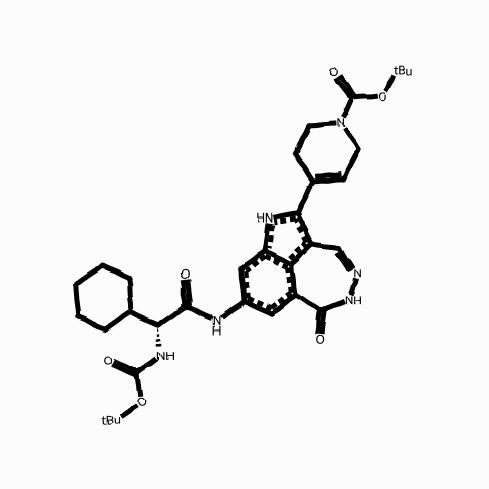 CC(C)(C)OC(=O)N[C@@H](C(=O)Nc1cc2c3c(c(C4=CCN(C(=O)OC(C)(C)C)CC4)[nH]c3c1)C=NNC2=O)C1CCCCC1